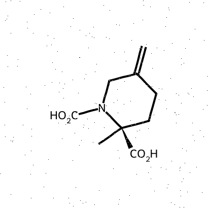 C=C1CC[C@@](C)(C(=O)O)N(C(=O)O)C1